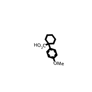 COc1ccc(C2(C(=O)O)CCCCC2)cc1